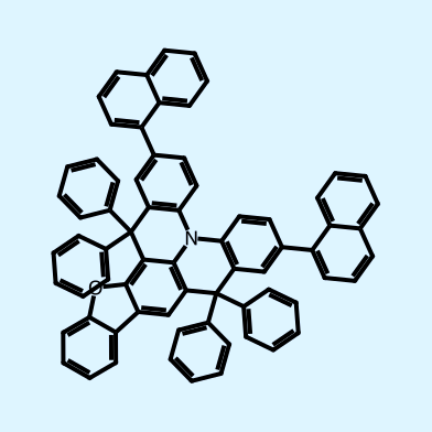 c1ccc(C2(c3ccccc3)c3cc(-c4cccc5ccccc45)ccc3N3c4ccc(-c5cccc6ccccc56)cc4C(c4ccccc4)(c4ccccc4)c4c3c2cc2c4oc3ccccc32)cc1